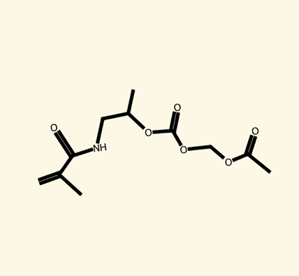 C=C(C)C(=O)NCC(C)OC(=O)OCOC(C)=O